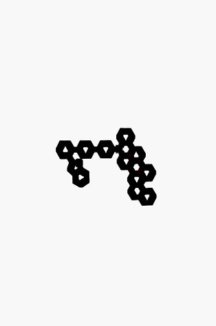 c1ccc(-c2ccc(-c3ccccc3N(c3ccc(-c4ccc(-c5ccccc5-c5cc6ccccc6o5)cc4)cc3)c3ccc(-c4ccc5c(ccc6ccccc65)c4)cc3)cc2)cc1